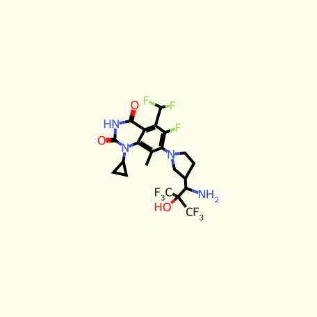 Cc1c(N2CCC(C(N)C(O)(C(F)(F)F)C(F)(F)F)C2)c(F)c(C(F)F)c2c(=O)[nH]c(=O)n(C3CC3)c12